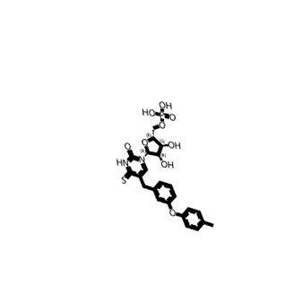 Cc1ccc(Oc2cccc(Cc3cn([C@@H]4O[C@H](COP(=O)(O)O)[C@@H](O)[C@H]4O)c(=O)[nH]c3=S)c2)cc1